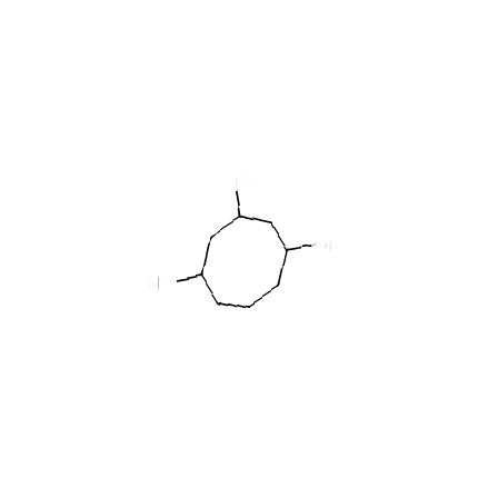 CC(C)C1CC(O)CCCC(O)C1